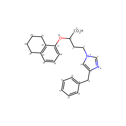 O=C(O)C(CCn1cnc(Cc2ccccc2)c1)Oc1cccc2c1CCCC2